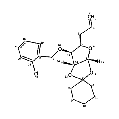 C=CC[C@H]1O[C@@H]2OC3(CCCCC3)O[C@@H]2[C@H]1OCc1ccccc1Cl